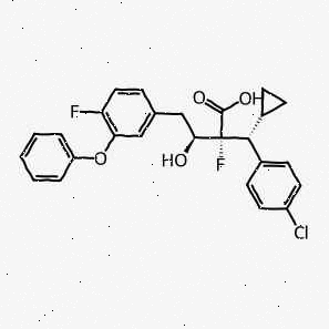 O=C(O)[C@](F)([C@@H](O)Cc1ccc(F)c(Oc2ccccc2)c1)[C@@H](c1ccc(Cl)cc1)C1CC1